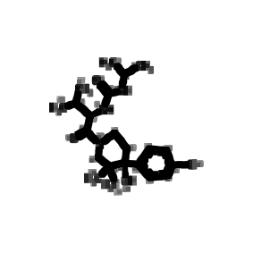 CC(C)NC(=O)N[C@@H](C(=O)N1CC[C@](O)(c2ccc(Cl)cc2)C(C)(C)C1)C(C)C